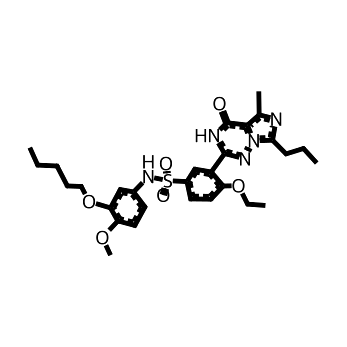 CCCCCOc1cc(NS(=O)(=O)c2ccc(OCC)c(-c3nn4c(CCC)nc(C)c4c(=O)[nH]3)c2)ccc1OC